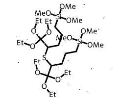 CCOC(OCC)(OCC)C(CCC[Si](OC)(OC)OC)SC(CCC[Si](OC)(OC)OC)C(OCC)(OCC)OCC